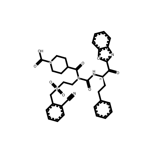 N#Cc1ccccc1CS(=O)(=O)CCN(C(=O)N[C@H](CCc1ccccc1)C(=O)c1nc2ccccc2o1)C(=O)C1CCN(C(=O)O)CC1